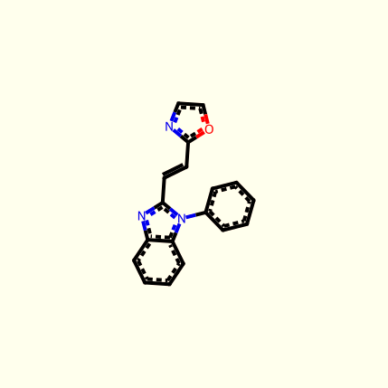 C(=C\c1nc2ccccc2n1-c1ccccc1)/c1ncco1